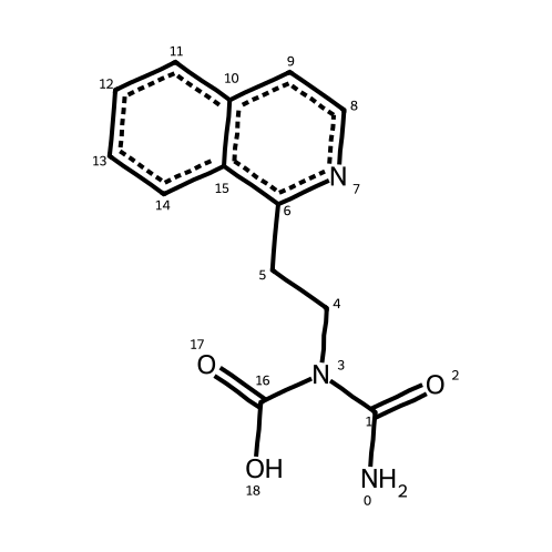 NC(=O)N(CCc1nccc2ccccc12)C(=O)O